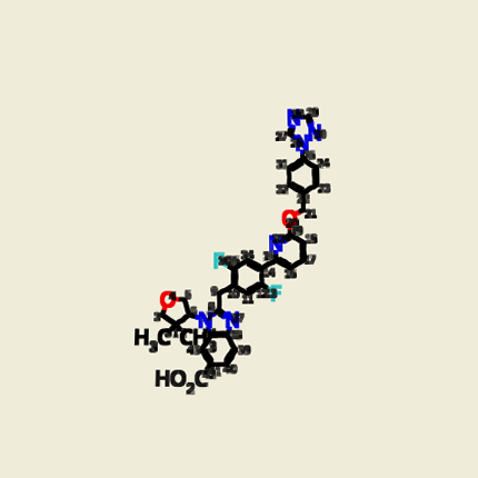 CC1(C)COCC1n1c(Cc2cc(F)c(-c3cccc(OCc4ccc(-n5cncn5)cc4)n3)cc2F)nc2ccc(C(=O)O)cc21